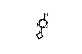 CCc1cnc(N2CCC2)nc1